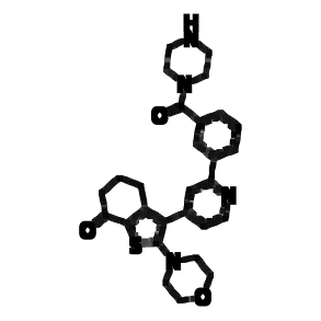 O=C1CCCc2c1sc(N1CCOCC1)c2-c1ccnc(-c2cccc(C(=O)N3CCNCC3)c2)c1